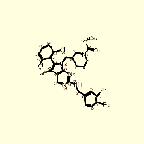 CC(C)(C)OC(=O)N1CCCC(Cn2c(-c3c(Cl)cccc3Cl)c(F)c3cnc(NCc4ccc(F)c(F)c4)nc32)C1